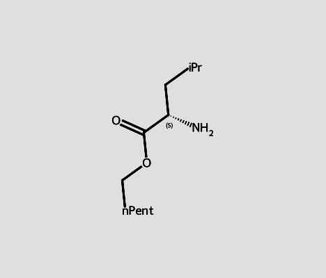 CCCCCCOC(=O)[C@@H](N)CC(C)C